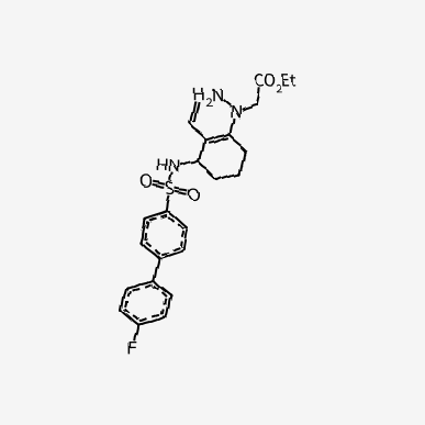 C=CC1=C(N(N)CC(=O)OCC)CCCC1NS(=O)(=O)c1ccc(-c2ccc(F)cc2)cc1